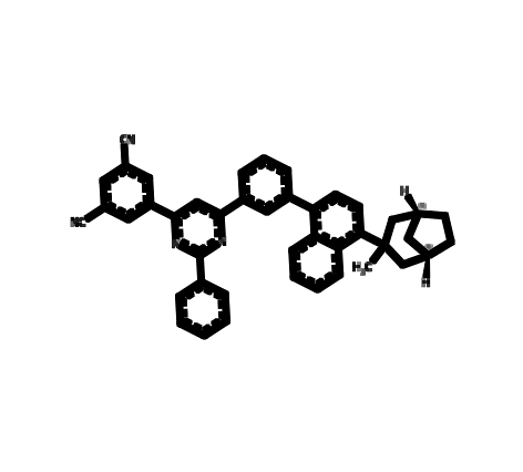 CC1(c2ccc(-c3cccc(-c4cc(-c5cc(C#N)cc(C#N)c5)nc(-c5ccccc5)n4)c3)c3ccccc23)C[C@@H]2CC[C@@H](C2)C1